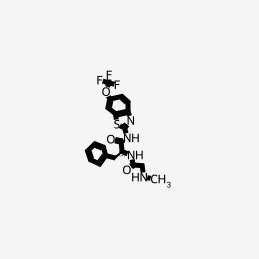 CNCC(=O)N[C@@H](Cc1ccccc1)C(=O)Nc1nc2ccc(OC(F)(F)F)cc2s1